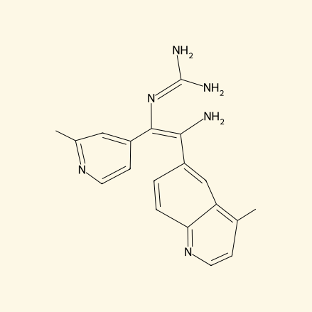 Cc1cc(/C(N=C(N)N)=C(/N)c2ccc3nccc(C)c3c2)ccn1